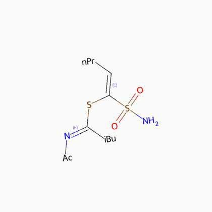 CCC/C=C(\S/C(=N/C(C)=O)C(C)CC)S(N)(=O)=O